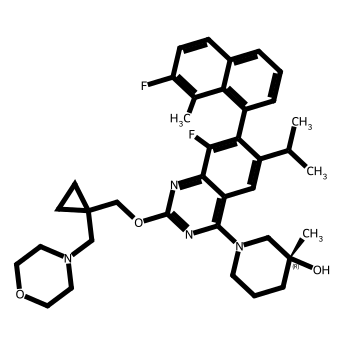 Cc1c(F)ccc2cccc(-c3c(C(C)C)cc4c(N5CCC[C@@](C)(O)C5)nc(OCC5(CN6CCOCC6)CC5)nc4c3F)c12